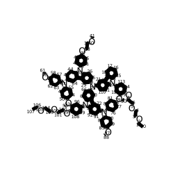 CCOCCOCCOc1ccc(-n2c3ccccc3c3cc(N(c4ccc5c(c4)c4c(n5-c5ccc(OCCOC)cc5)CCC(N(C5=CCC(OC)C=C5)C5C=CC(OC)=CC5)=C4)c4ccc5c(c4)c4cc(N(C6=CC=C(OC)CC6)C6C=CC(OC)=CC6)ccc4n5-c4ccc(OCCOCCOCC)cc4)ccc32)cc1